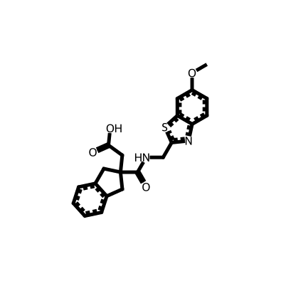 COc1ccc2nc(CNC(=O)C3(CC(=O)O)Cc4ccccc4C3)sc2c1